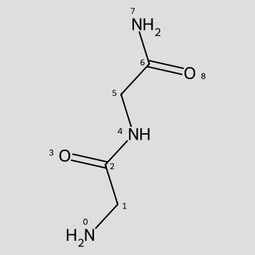 NCC(=O)NCC(N)=O